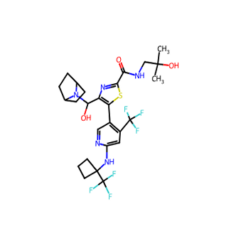 CC(C)(O)CNC(=O)c1nc(C(O)N2C3CCC2CC3)c(-c2cnc(NC3(C(F)(F)F)CCC3)cc2C(F)(F)F)s1